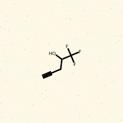 C#CCC(O)C(F)(F)F